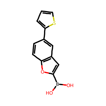 OB(O)c1cc2cc(-c3cccs3)ccc2o1